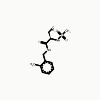 CC[C@@H](NS(C)(=O)=O)C(=O)NCc1ccccc1C